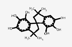 CC1(C)CC2(CC(C)(C)c3cc(O)c(O)c(O)c32)c2c1cc(O)c(O)c2O